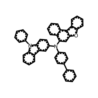 c1ccc(-c2ccc(N(c3ccc4c(c3)c3ccccc3n4-c3ccccc3)c3cc4oc5ccccc5c4c4ccccc34)cc2)cc1